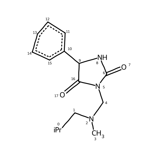 CC(C)CN(C)CN1C(=O)NC(c2ccccc2)C1=O